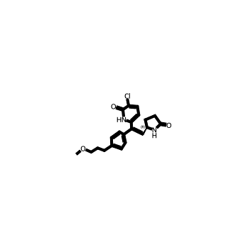 COCCCc1ccc(C(=C[C@H]2CCC(=O)N2)c2ccc(Cl)c(=O)[nH]2)cc1